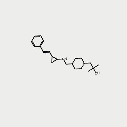 CC(C)(O)CN1CCC(CNC2CC2/C=C/c2ccccc2)CC1